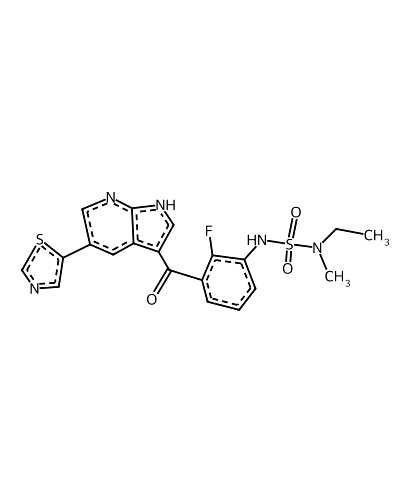 CCN(C)S(=O)(=O)Nc1cccc(C(=O)c2c[nH]c3ncc(-c4cncs4)cc23)c1F